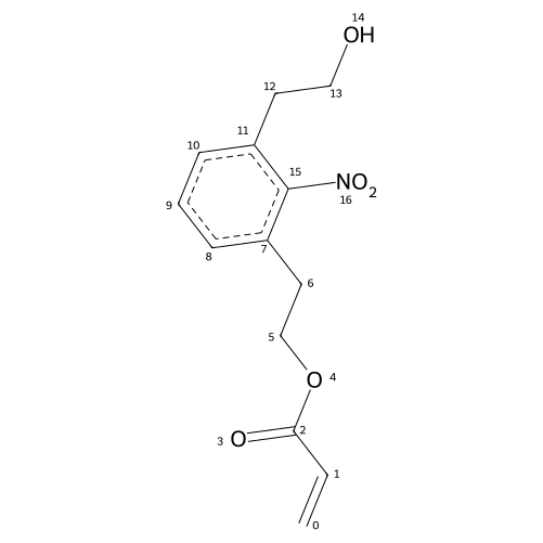 C=CC(=O)OCCc1cccc(CCO)c1[N+](=O)[O-]